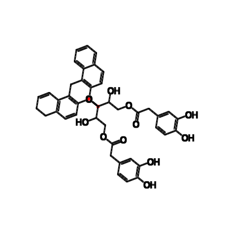 O=C(Cc1ccc(O)c(O)c1)OCC(O)COc1ccc2c(c1Cc1c(OCC(O)COC(=O)Cc3ccc(O)c(O)c3)ccc3ccccc13)C=CCC2